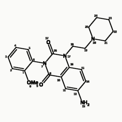 COc1ccccc1-n1c(=O)c2cc(N)ccc2n(CCN2CCCCC2)c1=O